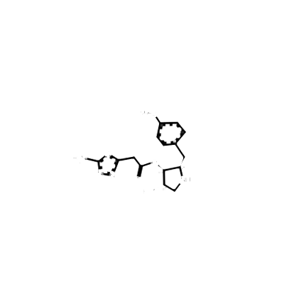 COc1ccc(C[C@H]2NC[C@H](O)[C@H]2OC(=O)Cc2nnc(N)s2)cc1